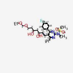 CCOCOCCC(O)CC(O)/C=C/c1c(-c2ccc(F)cc2)nc(N(C)S(C)(=O)=O)nc1C(C)C